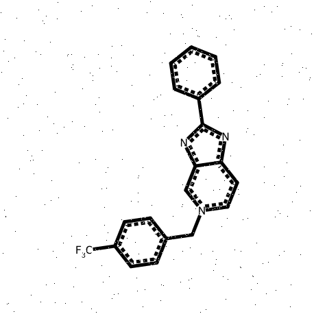 FC(F)(F)c1ccc(Cn2ccc3nc(-c4ccccc4)nc-3c2)cc1